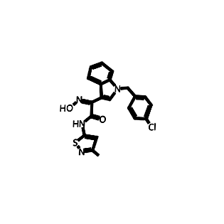 Cc1cc(NC(=O)C(=NO)c2cn(Cc3ccc(Cl)cc3)c3ccccc23)sn1